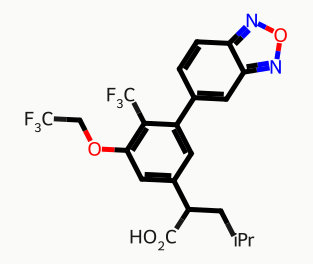 CC(C)CC(C(=O)O)c1cc(OCC(F)(F)F)c(C(F)(F)F)c(-c2ccc3nonc3c2)c1